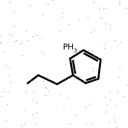 CCCc1ccccc1.P